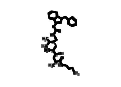 CCCCNC(=O)[C@H](C)C[C@H](O)[C@@H](N)C[C@@H](CNC(=O)Oc1cn(Cc2ccccc2)c2ccccc12)C(C)C